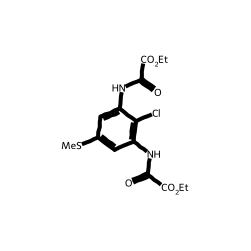 CCOC(=O)C(=O)Nc1cc(SC)cc(NC(=O)C(=O)OCC)c1Cl